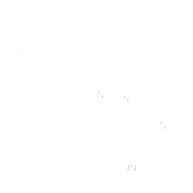 FC(F)(F)CCc1nn(C2CNCCN2)c2ccccc12